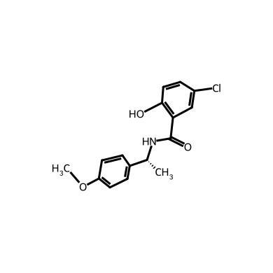 COc1ccc([C@@H](C)NC(=O)c2cc(Cl)ccc2O)cc1